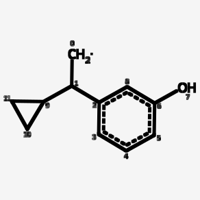 [CH2]C(c1cccc(O)c1)C1CC1